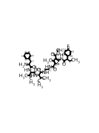 CCC(C(=O)Nc1sc(C(=O)NCCNC(=O)[C@@H](NC(=O)[C@@H](NC(=O)[C@@H](N)Cc2ccccc2)C(C)C)C(C)C)c(C)c1C(=O)OC)c1ccc(F)cc1